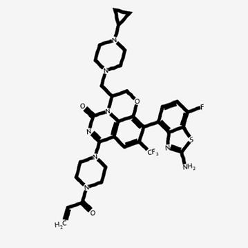 C=CC(=O)N1CCN(c2nc(=O)n3c4c(c(-c5ccc(F)c6sc(N)nc56)c(C(F)(F)F)cc24)OCC3CN2CCN(C3CC3)CC2)CC1